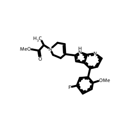 COC(=O)C(C)N1CC=C(c2cc3c(-c4cc(F)ccc4OC)ccnc3[nH]2)CC1